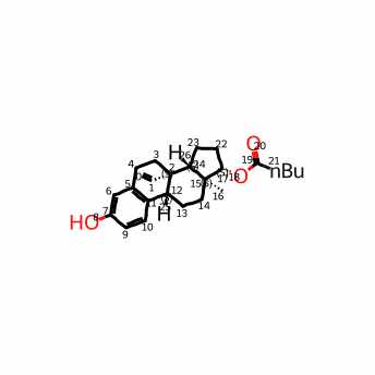 C=C[C@@]12CCc3cc(O)ccc3[C@H]1CC[C@]1(C)[C@@H](OC(=O)CCCC)CC[C@H]12